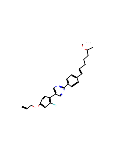 C=CCOc1ccc(-c2cnc(-c3ccc(/C=C/CCCC(C)OCCCCC)cc3)nc2)c(F)c1